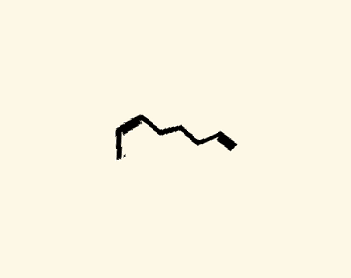 [CH2]/C=C\CCCC=C